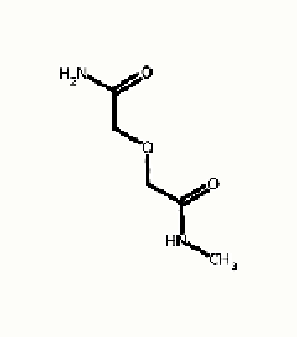 CNC(=O)COCC(N)=O